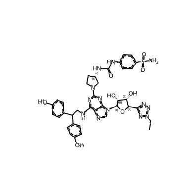 CCn1nnc([C@H]2O[C@@H](n3cnc4c(NCC(c5ccc(O)cc5)c5ccc(O)cc5)nc(N5CC[C@H](NC(=O)Nc6ccc(S(N)(=O)=O)cc6)C5)nc43)[C@H](O)[C@@H]2O)n1